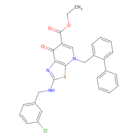 CCOC(=O)c1cn(Cc2ccccc2-c2ccccc2)c2sc(NCc3cccc(Cl)c3)nc2c1=O